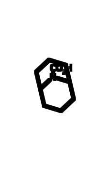 O=C(O)N1C2CCCC1CCC2